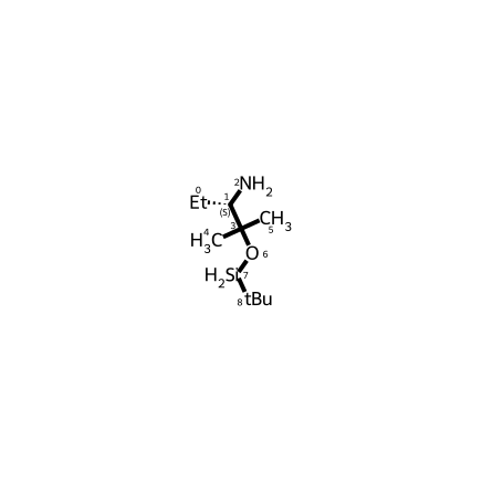 CC[C@H](N)C(C)(C)O[SiH2]C(C)(C)C